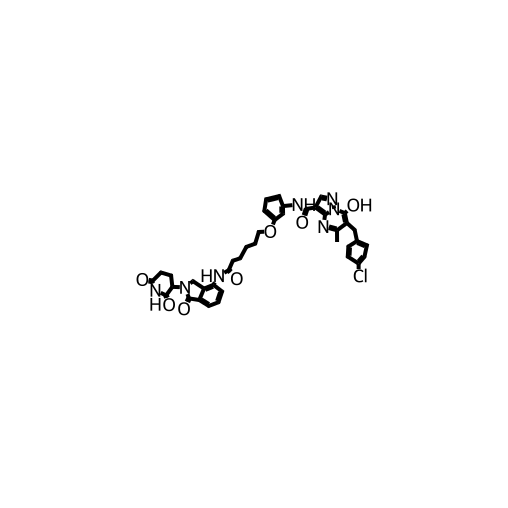 Cc1nc2c(C(=O)Nc3cccc(OCCCCCC(=O)Nc4cccc5c4CN(C4CCC(=O)NC4=O)C5=O)c3)cnn2c(O)c1Cc1ccc(Cl)cc1